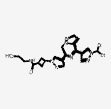 CCC(CC)n1cc(-c2nc(-c3cnn(C4CC(C(=O)NCCO)C4)c3)cn3nccc23)cn1